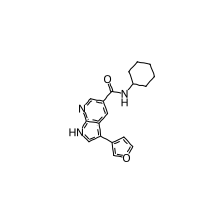 O=C(NC1CCCCC1)c1cnc2[nH]cc(-c3ccoc3)c2c1